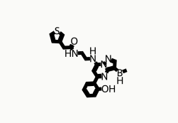 CBc1cnn2c(NCCNC(=O)Cc3ccsc3)cc(-c3ccccc3O)nc12